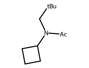 CC(=O)N(CC(C)(C)C)C1CCC1